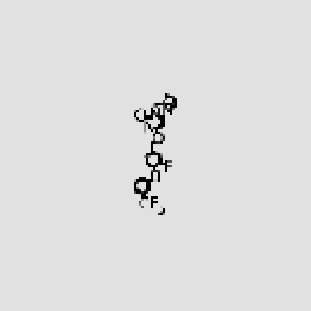 O=c1nc(OCc2ccc(Oc3cccc(C(F)(F)F)c3)c(F)c2)cc2n1CC13CC(CN21)C3